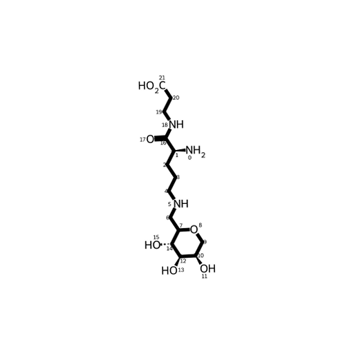 N[C@@H](CCCNCC1OC[C@@H](O)[C@@H](O)[C@@H]1O)C(=O)NCCC(=O)O